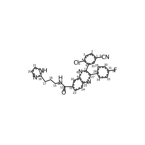 N#Cc1ccc(Cl)c(-c2nc3cc(C(=O)NCCCc4ncc[nH]4)ccc3nc2-c2ccc(F)cc2)c1